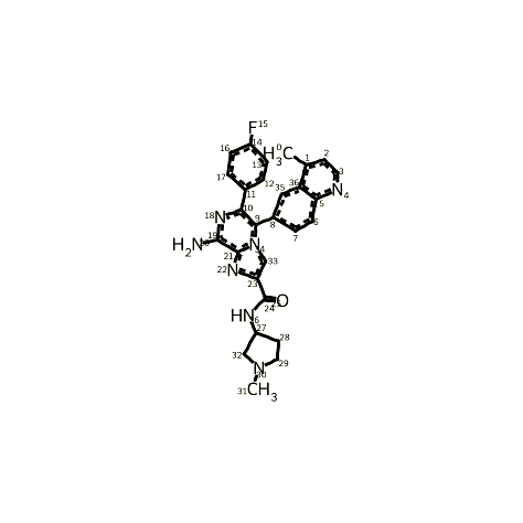 Cc1ccnc2ccc(-c3c(-c4ccc(F)cc4)nc(N)c4nc(C(=O)NC5CCN(C)C5)cn34)cc12